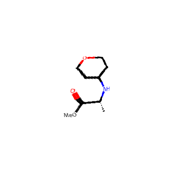 COC(=O)[C@@H](C)NC1CCOCC1